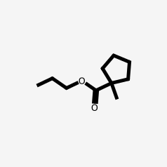 CCCOC(=O)C1(C)CCCC1